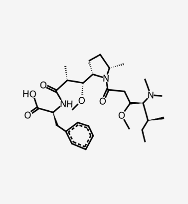 CC[C@H](C)[C@@H](C(CC(=O)N1[C@@H](C)CC[C@H]1[C@H](OC)[C@@H](C)C(=O)N[C@@H](Cc1ccccc1)C(=O)O)OC)N(C)C